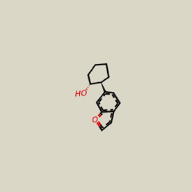 O[C@@H]1CCCC[C@H]1c1ccc2ccoc2c1